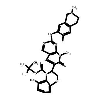 Cc1cccc2c1N(C(=O)OC(C)(C)C)C(c1cc3cnc(Nc4cc5c(cc4F)CCN(C)C5)nc3n(C)c1=O)CN2